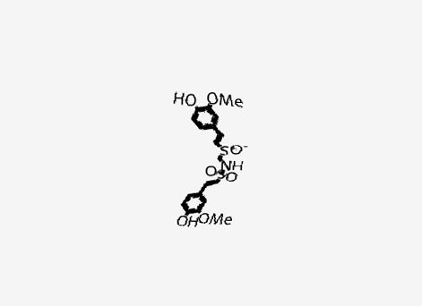 COc1cc(C=C[S+]([O-])CNS(=O)(=O)C=Cc2ccc(O)c(OC)c2)ccc1O